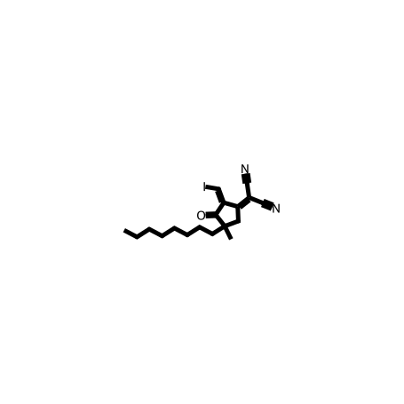 CCCCCCCCC1(C)CC(=C(C#N)C#N)/C(=C/I)C1=O